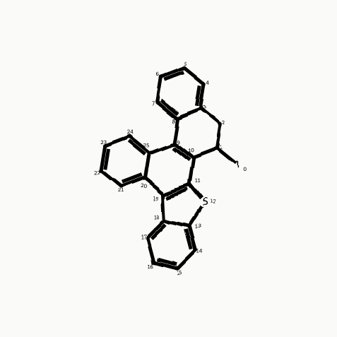 IC1Cc2ccccc2-c2c1c1sc3ccccc3c1c1ccccc21